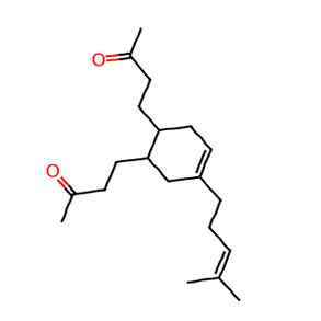 CC(=O)CCC1CC=C(CCC=C(C)C)CC1CCC(C)=O